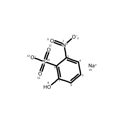 O=[N+]([O-])c1cccc(O)c1S(=O)(=O)[O-].[Na+]